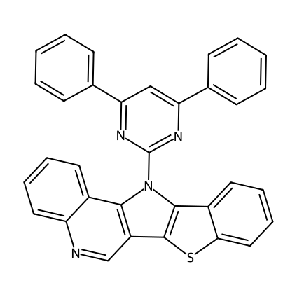 c1ccc(-c2cc(-c3ccccc3)nc(-n3c4c5ccccc5ncc4c4sc5ccccc5c43)n2)cc1